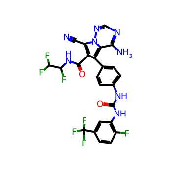 N#Cc1c(C(=O)NC(F)C(F)F)c(-c2ccc(NC(=O)Nc3cc(C(F)(F)F)ccc3F)cc2)c2c(N)ncnn12